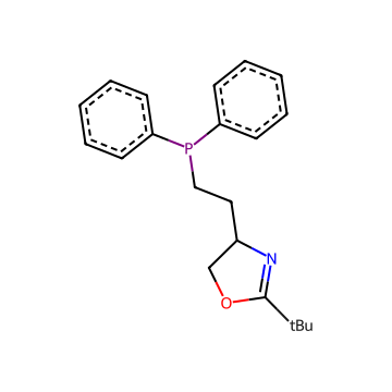 CC(C)(C)C1=NC(CCP(c2ccccc2)c2ccccc2)CO1